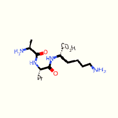 CC(C)[C@H](NC(=O)[C@H](C)N)C(=O)N[C@@H](CCCCN)C(=O)O